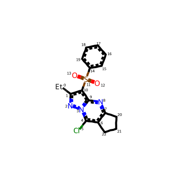 CCc1nn2c(Cl)c3c(nc2c1S(=O)(=O)c1ccccc1)CCC3